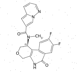 CN(C(=O)c1cc2cccnn2c1)[C@@H]1COCc2[nH]c(=O)c3cc(F)c(F)cc3c21